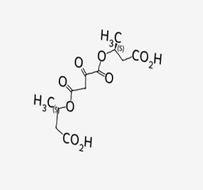 C[C@@H](CC(=O)O)OC(=O)CC(=O)C(=O)O[C@@H](C)CC(=O)O